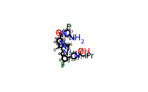 Cc1c(-c2cc3cc(F)cc(C4CCN(C(O)CC(C)C)CC4)c3n2CC2CC2)nn2cc(C(=O)N3C[C@H](N)C[C@@H](F)C3)ccc12